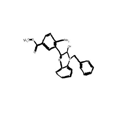 COC(=O)c1ccc(N)c(C2=Nc3ccccc3N(Cc3ccccc3)C2O)c1